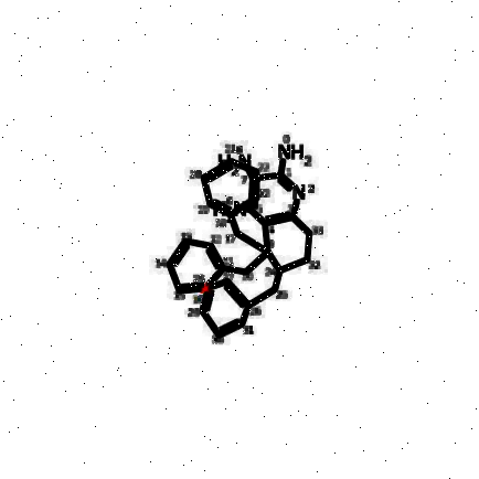 Nc1nc2c(c(N)c1N)C(Cc1ccccc1)(Cc1ccccc1)C(Cc1ccccc1)CC2